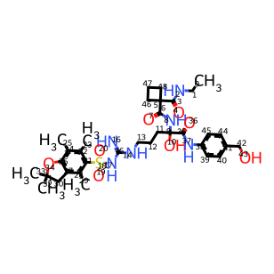 CCNC(=O)C1(C(=O)NC(O)(CCCNC(=N)NS(=O)(=O)c2c(C)c(C)c3c(c2C)CC(C)(C)O3)C(=O)Nc2ccc(CO)cc2)CCC1